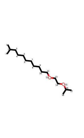 CC(C)CCCCCCCCCOCCOC(C)C